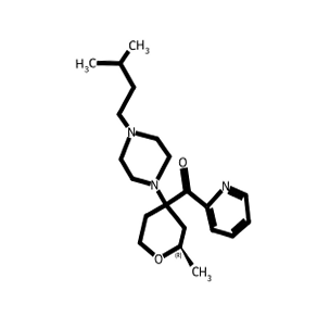 CC(C)CCN1CCN(C2(C(=O)c3ccccn3)CCO[C@H](C)C2)CC1